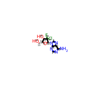 Nc1ncnc2c1ncn2[C@@H]1O[C@H](CO)C(O)C1(F)Cl